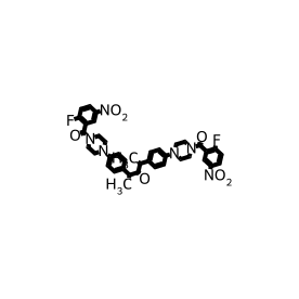 CC(C(=O)C(C)c1ccc(N2CCN(C(=O)c3cc([N+](=O)[O-])ccc3F)CC2)cc1)c1ccc(N2CCN(C(=O)c3cc([N+](=O)[O-])ccc3F)CC2)cc1